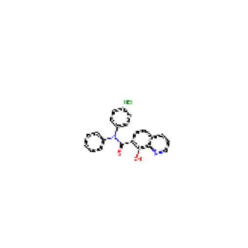 Cl.O=C(c1ccc2cccnc2c1O)N(c1ccccc1)c1ccccc1